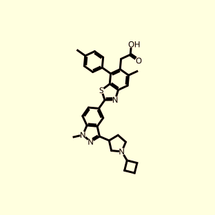 Cc1ccc(-c2c(CC(=O)O)c(C)cc3nc(-c4ccc5c(c4)c(C4CCN(C6CCC6)C4)nn5C)sc23)cc1